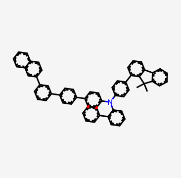 CC1(C)c2ccccc2-c2cccc(-c3ccc(N(c4ccc(-c5ccc(-c6cccc(-c7ccc8ccccc8c7)c6)cc5)cc4)c4ccccc4-c4ccccc4)cc3)c21